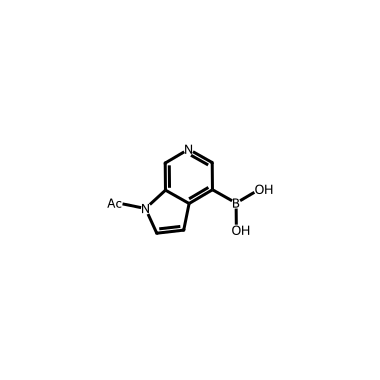 CC(=O)n1ccc2c(B(O)O)cncc21